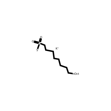 CCCCCCCCCCCCCCCCS(=O)(=O)[S-].[K+]